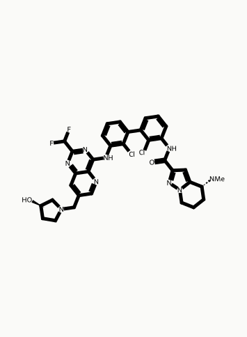 CN[C@@H]1CCCn2nc(C(=O)Nc3cccc(-c4cccc(Nc5nc(C(F)F)nc6cc(CN7CC[C@@H](O)C7)cnc56)c4Cl)c3Cl)cc21